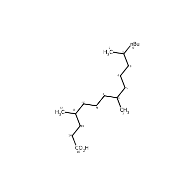 CCCCC(C)CCCC(C)CCCC(C)CCC(=O)O